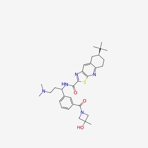 CN(C)CCC(NC(=O)c1nc2cc3c(nc2s1)CC[C@H](C(C)(C)C)C3)c1cccc(C(=O)N2CC(C)(O)C2)c1